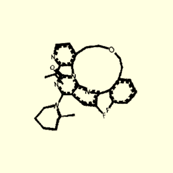 CC(C)c1nccc2c1-n1c(=O)nc(N3CCCC[C@@H]3C)c3cc(F)c(nc31)-c1c(F)cccc1CCOCC2